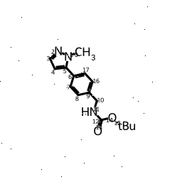 Cn1nccc1-c1ccc(CNC(=O)OC(C)(C)C)cc1